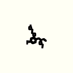 CCO[C@H](CC)Cc1ccc(F)cc1OCCOC